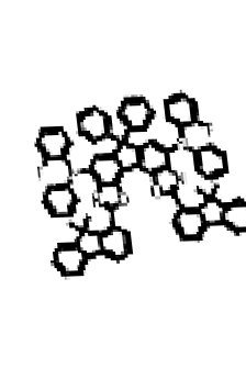 CC1(C)c2ccccc2-c2cccc(-c3nc4c(N(c5ccccc5)c5ccccc5F)cc5c(c4o3)-c3c(cc(N(c4ccccc4)c4ccccc4F)c4nc(-c6cccc7c6C(C)(C)c6ccccc6-7)oc34)C5(c3ccccc3)c3ccccc3)c21